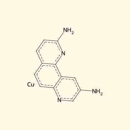 Nc1cnc2ccc3ccc(N)nc3c2c1.[Cu]